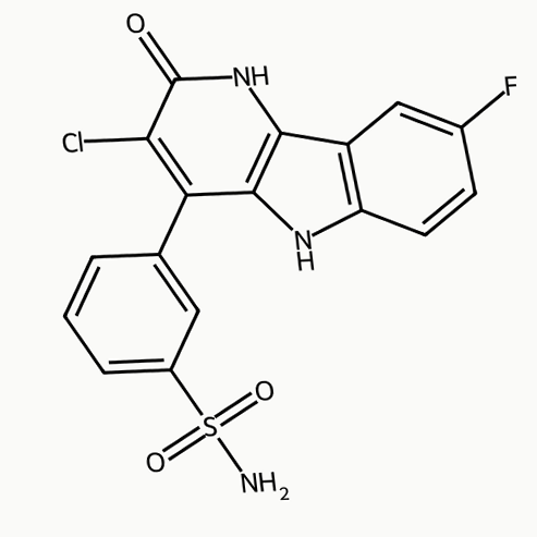 NS(=O)(=O)c1cccc(-c2c(Cl)c(=O)[nH]c3c2[nH]c2ccc(F)cc23)c1